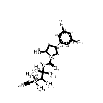 CC(C(C)(C)OC(=O)N1C[C@@H](c2cc(F)cc(F)c2)CC1O)S(C)(C)C#N